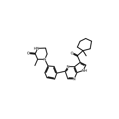 CC1C(=O)NCCN1c1cccc(-c2cnc3[nH]cc(C(=O)C4(C)CCCCC4)c3n2)c1